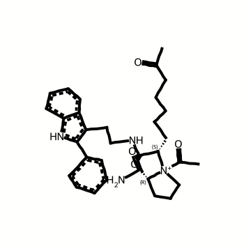 CC(=O)CCCCC[C@@H](C(=O)NCCc1c(-c2ccccc2)[nH]c2ccccc12)[N+]1(C(C)=O)CCC[C@@H]1C(N)=O